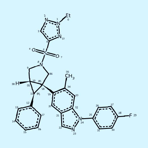 CCn1ncc(S(=O)(=O)N2C[C@H]3[C@H](c4ccccc4)[C@@]3(c3cc4cnn(-c5ccc(F)cc5)c4cc3C)C2)n1